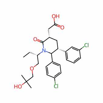 CC[C@@H](COCC(C)(C)O)N1C(=O)[C@H](CC(=O)O)C[C@H](c2cccc(Cl)c2)C1c1ccc(Cl)cc1